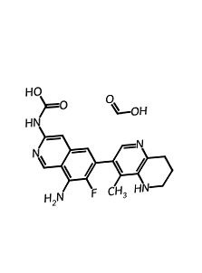 Cc1c(-c2cc3cc(NC(=O)O)ncc3c(N)c2F)cnc2c1NCCC2.O=CO